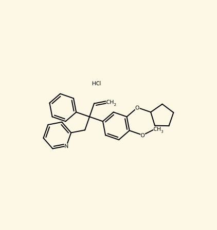 C=CC(Cc1ccccn1)(c1ccccc1)c1ccc(OC)c(OC2CCCC2)c1.Cl